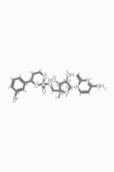 C=C1N=C(N)C=CN1[C@@H]1O[C@](C)(COP2(=O)OCCC(c3cccc(Br)c3)O2)[C@@H](O)[C@H]1O